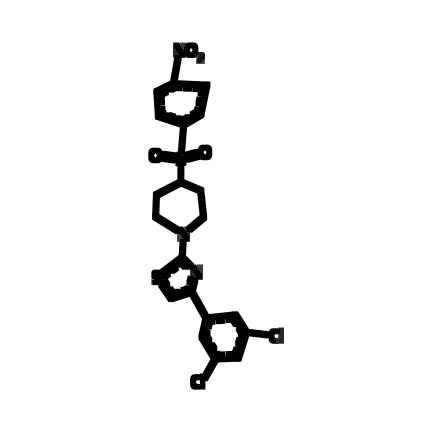 O=[N+]([O-])c1ccc(S(=O)(=O)C2CCN(c3nc(-c4cc(Cl)cc(Cl)c4)cs3)CC2)cc1